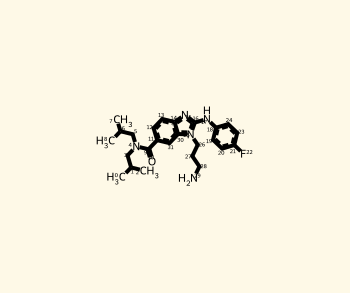 CC(C)CN(CC(C)C)C(=O)c1ccc2nc(Nc3ccc(F)cc3)n(CCCN)c2c1